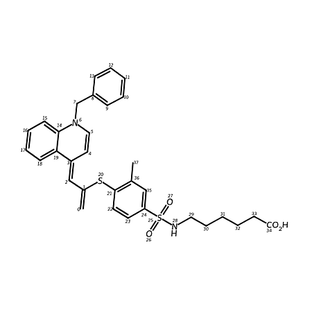 C=C(/C=C1\C=CN(Cc2ccccc2)c2ccccc21)Sc1ccc(S(=O)(=O)NCCCCCC(=O)O)cc1C